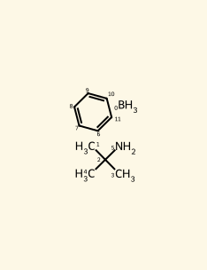 B.CC(C)(C)N.c1ccccc1